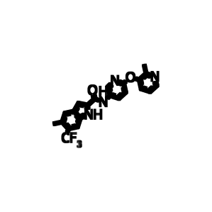 Cc1cc2cc(C(=O)Nc3ccc(Oc4cccnc4C)nc3)[nH]c2cc1C(F)(F)F